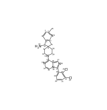 Cc1ccc2c(n1)CC1(CCN(c3nccn4c(-c5cccc(Cl)c5Cl)ncc34)CC1)C2N